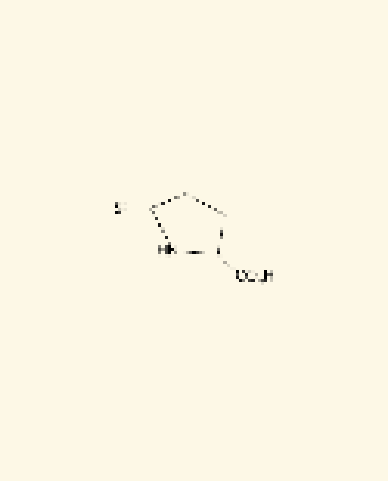 O=C(O)C1CCC(=S)N1